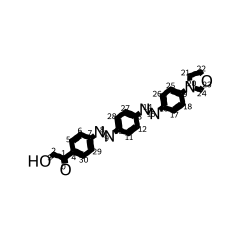 O=C(CO)c1ccc(N=Nc2ccc(N=Nc3ccc(N4CCOC4)cc3)cc2)cc1